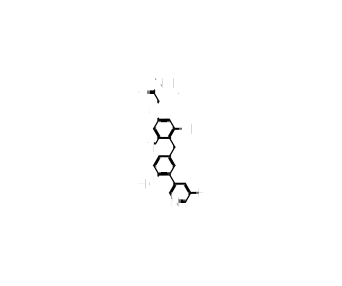 NC(=O)COc1cc(Cl)c(Cc2ccc(O)c(-c3cncc(F)c3)c2)c(Cl)c1